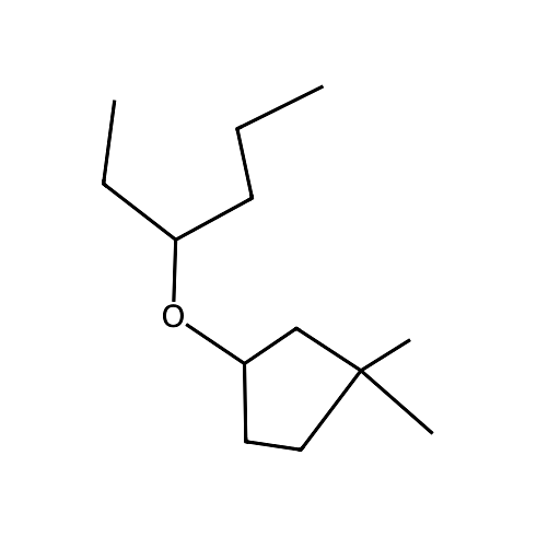 CCCC(CC)OC1CCC(C)(C)C1